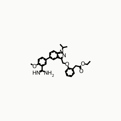 CCOC(=O)Cc1ccccc1OCc1nn(C(C)C)c2ccc(-c3ccc(OC)c(C(=N)N)c3)cc12